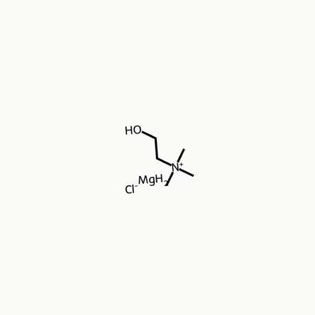 C[N+](C)(C)CCO.[Cl-].[MgH2]